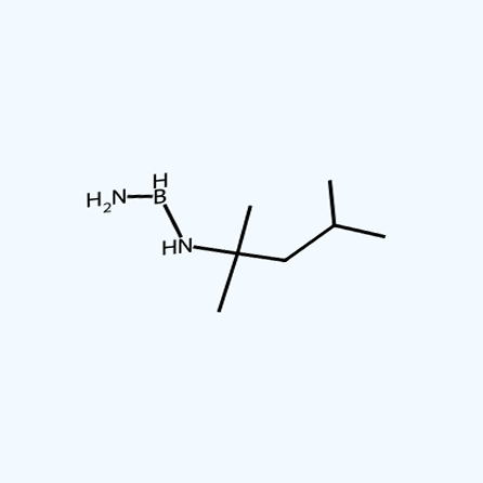 CC(C)CC(C)(C)NBN